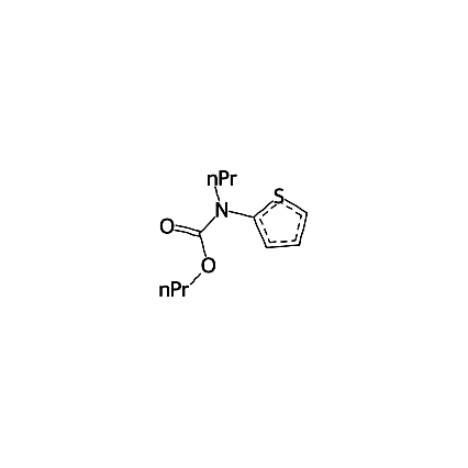 CCCOC(=O)N(CCC)c1cccs1